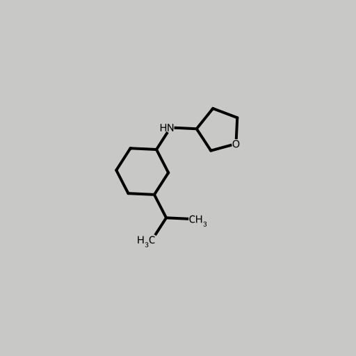 CC(C)C1CCCC(NC2CCOC2)C1